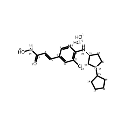 Cl.Cl.O=C(C=Cc1cnc(N[C@@H]2CCN(C3CCCC3)C2)c(Cl)c1)NO